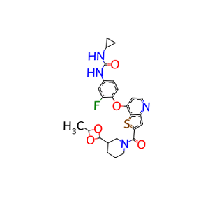 CC1OC(C2CCCN(C(=O)c3cc4nccc(Oc5ccc(NC(=O)NC6CC6)cc5F)c4s3)C2)O1